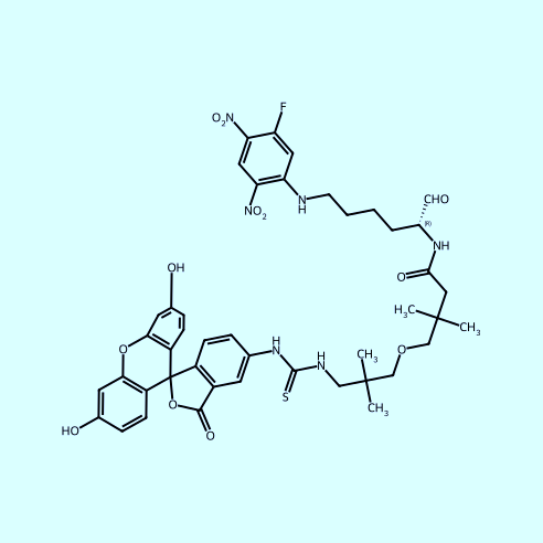 CC(C)(CNC(=S)Nc1ccc2c(c1)C(=O)OC21c2ccc(O)cc2Oc2cc(O)ccc21)COCC(C)(C)CC(=O)N[C@@H](C=O)CCCCNc1cc(F)c([N+](=O)[O-])cc1[N+](=O)[O-]